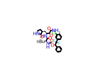 CCCC[C@H](NC(=O)O[C@@H](c1ccccc1)C(F)(F)c1cccc(Cl)c1)C(=O)N[C@@H](C[C@@H]1CCNC1=O)C(=O)C(N)=O